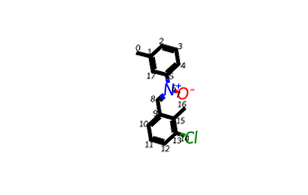 Cc1cccc([N+]([O-])=Cc2cccc(Cl)c2C)c1